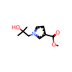 COC(=O)c1ccn(CC(C)(C)O)c1